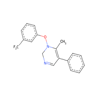 CC1=C(c2ccccc2)C=NCN1Oc1cccc(C(F)(F)F)c1